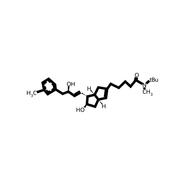 Cc1cccc(C[C@@H](O)/C=C/[C@@H]2[C@H]3CC(CCCCC(=O)N(C)C(C)(C)C)=C[C@H]3C[C@H]2O)c1